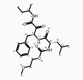 CCC(C)NC(=O)C(=O)[C@H](Cc1ccccc1)NC(=O)[C@H](CC(C)C)NC(=O)OCCOC